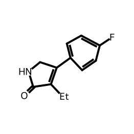 CCC1=C(c2ccc(F)cc2)CNC1=O